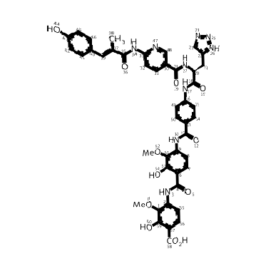 COc1c(NC(=O)c2ccc(NC(=O)c3ccc(NC(=O)[C@H](Cc4cnn[nH]4)NC(=O)c4ccc(NC(=O)/C(C)=C/c5ccc(O)cc5)nc4)cc3)c(OC)c2O)ccc(C(=O)O)c1O